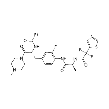 CCC(=O)N[C@H](Cc1ccc(NC(=O)[C@H](C)NC(=O)C(F)(F)c2cncs2)c(F)c1)C(=O)N1CCN(C)CC1